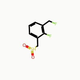 O=[SH](=O)Cc1cccc(CF)c1F